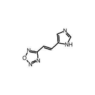 C(=C\c1cnc[nH]1)/c1nnon1